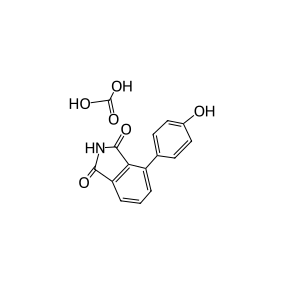 O=C(O)O.O=C1NC(=O)c2c1cccc2-c1ccc(O)cc1